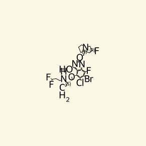 C=C[C@@H](COc1c(Cl)c(Br)c(F)c2nc(OC[C@@]34CCCN3C[C@H](F)C4)nc(O)c12)NCCC(F)F